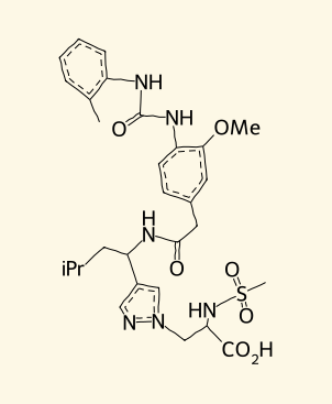 COc1cc(CC(=O)NC(CC(C)C)c2cnn(CC(NS(C)(=O)=O)C(=O)O)c2)ccc1NC(=O)Nc1ccccc1C